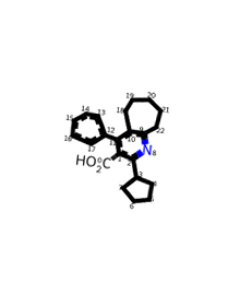 O=C(O)c1c(C2CCCC2)nc2c(c1-c1ccccc1)CCCCC2